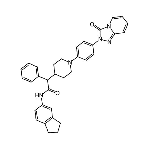 O=C(Nc1ccc2c(c1)CCC2)C(c1ccccc1)C1CCN(c2ccc(-n3nc4ccccn4c3=O)cc2)CC1